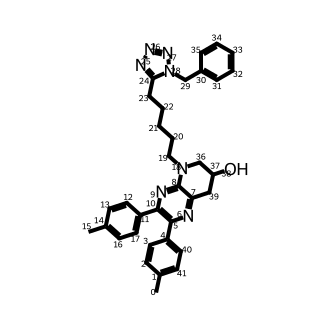 Cc1ccc(-c2nc3c(nc2-c2ccc(C)cc2)N(CCCCCc2nnnn2Cc2ccccc2)CC(O)C3)cc1